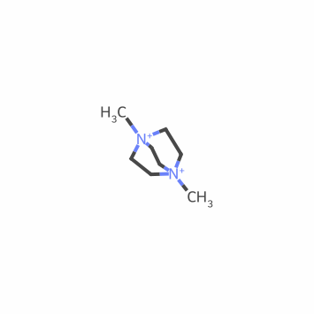 C[N+]12CC[N+](C)(CC1)CC2